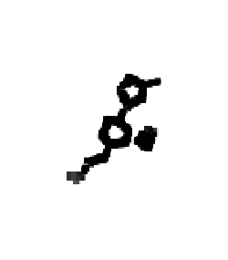 C#N.C#N.Cc1cnn(-c2ccc(C=NN)cc2)c1